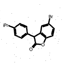 CC(C)c1ccc(C2C(=O)Oc3ccc(Br)cc32)cc1